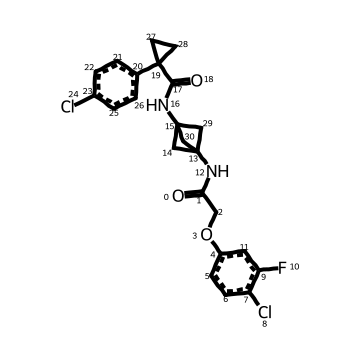 O=C(COc1ccc(Cl)c(F)c1)NC12CC(NC(=O)C3(c4ccc(Cl)cc4)CC3)(C1)C2